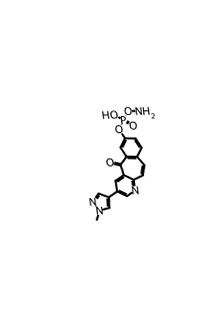 Cn1cc(-c2cnc3ccc4ccc(OP(=O)(O)ON)cc4c(=O)c3c2)cn1